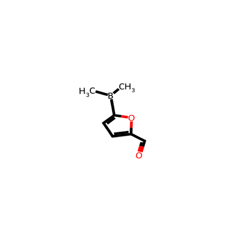 CB(C)c1ccc(C=O)o1